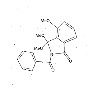 COc1cccc2c1C(OC)(OC)N(C(=O)c1ccccc1)C2=O